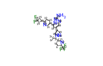 CC(C)C(c1ccc(C(F)(F)F)nc1)n1cc(-c2cc(-c3ccc(C4CC(F)(F)C4)nc3)n3nc(N)nc3c2)cn1